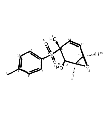 Cc1ccc(S(=O)(=O)[C@]2(O)C=C[C@H]3O[C@H]3[C@H]2O)cc1